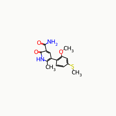 COc1cc(SC)ccc1-c1cc(C(N)=O)c(=O)[nH]c1C